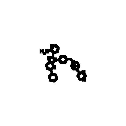 Nc1ncccc1-c1nc2ccc(-c3ccccc3)nc2n1-c1ccc(CN2CC3CCC2CN3c2ccncn2)cc1